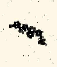 C=C(c1cccc(Br)c1)c1csc(C(=O)c2cncnc2N[C@H]2CC[C@@H](COS(N)(=O)=O)C2)c1